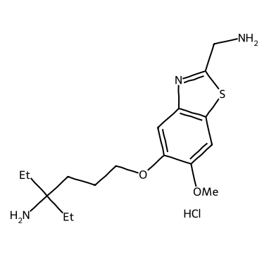 CCC(N)(CC)CCCOc1cc2nc(CN)sc2cc1OC.Cl